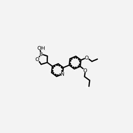 CCCOc1cc(-c2cc(C3COB(O)C3)ccn2)ccc1OCC